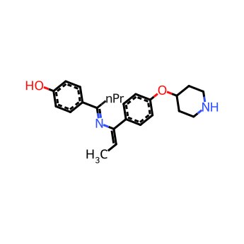 C/C=C(\N=C(/CCC)c1ccc(O)cc1)c1ccc(OC2CCNCC2)cc1